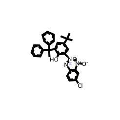 CC(C)(C)c1cc(/N=N/c2ccc(Cl)cc2[N+](=O)[O-])c(O)c(C(C)(c2ccccc2)c2ccccc2)c1